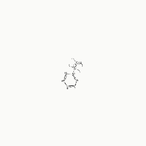 C[SiH2][Si](C)(C)c1ccccc1